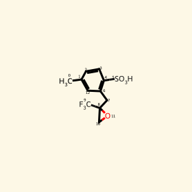 Cc1ccc(S(=O)(=O)O)c(CC2(C(F)(F)F)CO2)c1